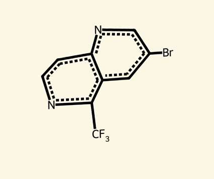 FC(F)(F)c1nccc2ncc(Br)cc12